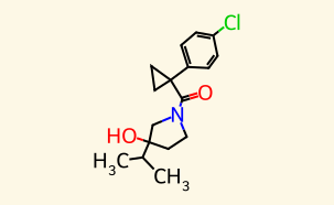 CC(C)C1(O)CCN(C(=O)C2(c3ccc(Cl)cc3)CC2)C1